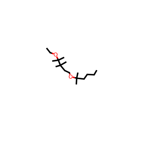 CCCCC(C)(C)OCCC(C)(C)C(C)(C)OCC